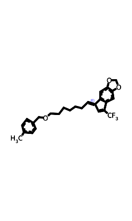 Cc1ccc(COCCCCCC/C=C2\C=C(C(F)(F)F)c3cc4c(cc32)OCO4)cc1